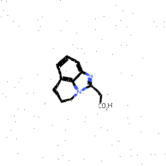 O=C(O)Cc1nc2cccc3c2n1CCC3